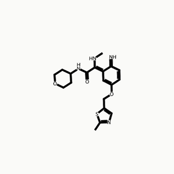 CN/C(C(=O)NC1CCOCC1)=C1/C=C(OCc2cnc(C)s2)C=CC1=N